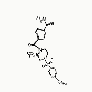 CC(=O)O.COc1ccc(S(=O)(=O)N2CCN(C(=O)c3ccc(C(=N)N)cc3)CC2)cc1